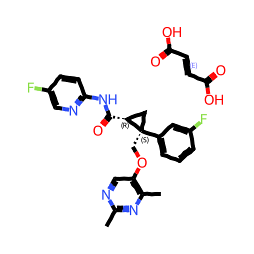 Cc1ncc(OC[C@@]2(c3cccc(F)c3)C[C@H]2C(=O)Nc2ccc(F)cn2)c(C)n1.O=C(O)/C=C/C(=O)O